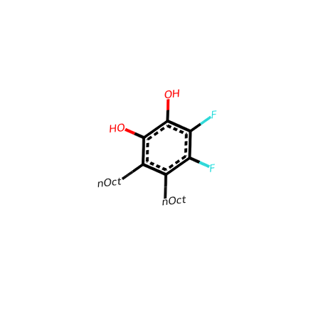 CCCCCCCCc1c(O)c(O)c(F)c(F)c1CCCCCCCC